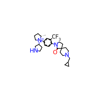 C[C@H]1CCC[N+]1(c1ccc(N2CCC3(CCN(CC4CC4)CC3)C2=O)c(C(F)(F)F)c1)[C@H]1CCNC1